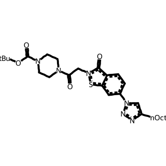 CCCCCCCCc1cn(-c2ccc3c(=O)n(CC(=O)N4CCN(C(=O)OC(C)(C)C)CC4)sc3c2)nn1